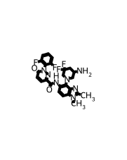 Cc1nc2c(N3CC(N)CC(F)(F)C3)c(NC(=O)c3ccc(=O)n(-c4c(F)cccc4F)n3)ccc2n1C